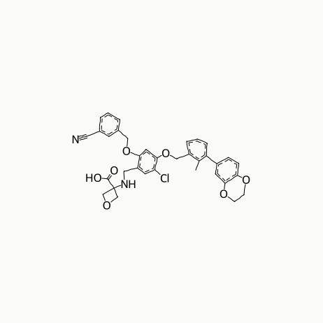 Cc1c(COc2cc(OCc3cccc(C#N)c3)c(CNC3(C(=O)O)COC3)cc2Cl)cccc1-c1ccc2c(c1)OCCO2